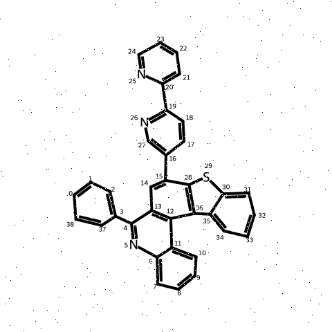 c1ccc(-c2nc3ccccc3c3c2cc(-c2ccc(-c4ccccn4)nc2)c2sc4ccccc4c23)cc1